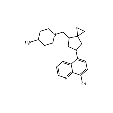 N#Cc1ccc(N2CC(CN3CCC(N)CC3)C3(CC3)C2)c2cccnc12